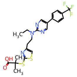 CCN(CCc1csc(SC(C)(C)C(=O)O)n1)c1ncc(-c2ccc(C(F)(F)F)cc2)cn1